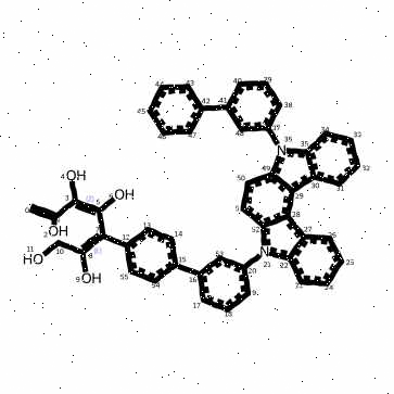 C=C(O)/C(O)=C(O)\C(=C(\O)CO)c1ccc(-c2cccc(-n3c4ccccc4c4c5c6ccccc6n(-c6cccc(-c7ccccc7)c6)c5ccc43)c2)cc1